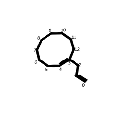 C=CCC1=CCCCCCCCC1